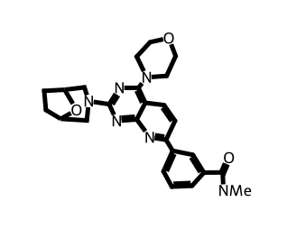 CNC(=O)c1cccc(-c2ccc3c(N4CCOCC4)nc(N4CC5CCC(C4)O5)nc3n2)c1